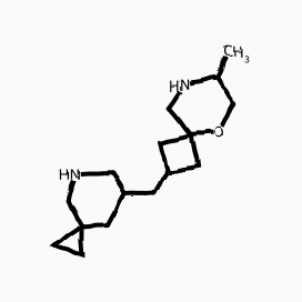 CC1COC2(CN1)CC(CC1CNCC3(CC3)C1)C2